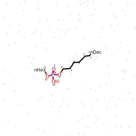 CCCCCCCCCCCCCCCCOP(=O)(O)OCCCCCC